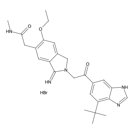 Br.CCOc1cc2c(cc1CC(=O)NC)C(=N)N(CC(=O)c1cc(C(C)(C)C)c3nc[nH]c3c1)C2